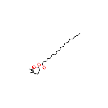 CCCCCCCCCCCCCCCCCC(=O)OC1CCC[Si](C)(C)O1